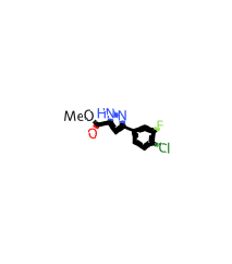 COC(=O)c1cc(-c2ccc(Cl)c(F)c2)n[nH]1